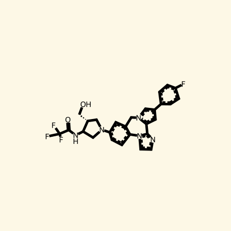 O=C(NC1CN(c2ccc3c(c2)Cn2cc(-c4ccc(F)cc4)cc2-c2nccn2-3)C[C@H]1CO)C(F)(F)F